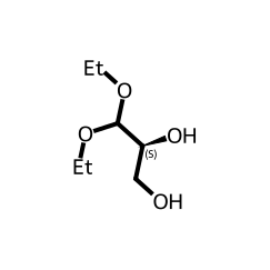 CCOC(OCC)[C@@H](O)CO